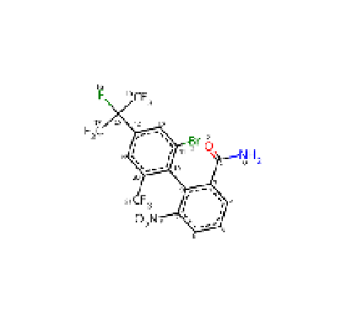 NC(=O)c1cccc([N+](=O)[O-])c1-c1c(Br)cc(C(F)(C(F)(F)F)C(F)(F)F)cc1C(F)(F)F